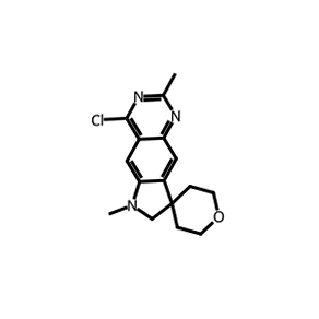 Cc1nc(Cl)c2cc3c(cc2n1)C1(CCOCC1)CN3C